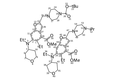 CCc1c(N(CC)C2CCOCC2)cc2oc(CN3CCN(C(=O)OC(C)(C)C)CC3)cc2c1C(=O)OC.CCc1c(N(CC)C2CCOCC2)cc2oc(CN3CCN(C(C)C)CC3)cc2c1C(=O)OC